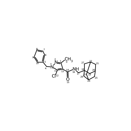 Cc1nn(Cc2ccccc2)c(Cl)c1C(=O)NCC12CC3CC(CC(C3)C1)C2